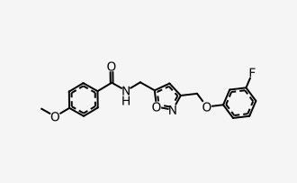 COc1ccc(C(=O)NCc2cc(COc3cccc(F)c3)no2)cc1